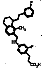 Cc1c(CNc2ccc(CCC(=O)O)c(F)c2)ccc2c1N(CCc1cccc(F)c1)CCC2